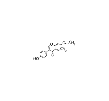 C/C=c1/c(=O)c(-c2ccc(O)cc2)co/c1=C/COCC